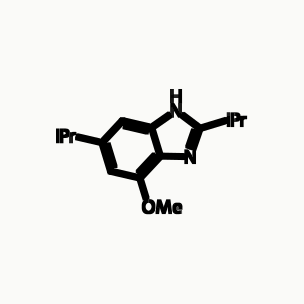 COc1cc(C(C)C)cc2[nH]c(C(C)C)nc12